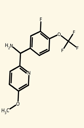 COc1ccc(C(N)c2ccc(OC(F)(F)F)c(F)c2)nc1